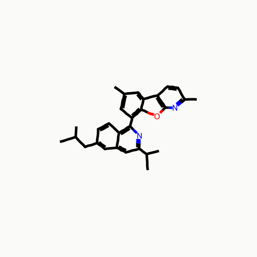 Cc1cc(-c2nc(C(C)C)cc3cc(CC(C)C)ccc23)c2oc3nc(C)ccc3c2c1